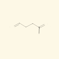 C=CC[CH]C(=C)Br